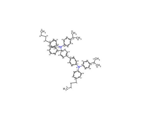 CCCCc1ccc(N(c2ccc(C3=CCC(c4ccccc4)(N(c4ccc(CCCC)cc4)c4ccc(C(C)C)cc4)C=C3)cc2)c2ccc(C(C)C)cc2)cc1